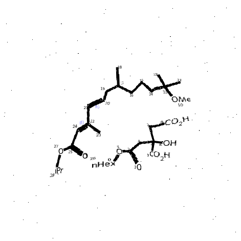 CCCCCCOC(=O)CC(O)(CC(=O)O)C(=O)O.COC(C)(C)CCCC(C)C/C=C/C(C)=C/C(=O)OC(C)C